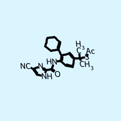 CC(=O)SC(C)(C)c1ccc(NC(=O)c2nc(C#N)c[nH]2)c(C2=CCCCC2)c1